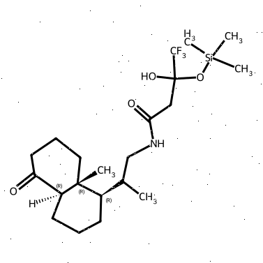 CC(CNC(=O)CC(O)(O[Si](C)(C)C)C(F)(F)F)[C@H]1CCC[C@H]2C(=O)CCC[C@]12C